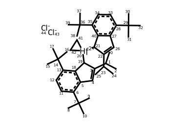 CC(C)C1=Cc2c(C(C)(C)C)ccc(C(C)(C)C)c2[CH]1[Hf+2]1([CH]2C(C(C)C)=Cc3c(C(C)(C)C)ccc(C(C)(C)C)c32)[CH2][CH2]1.[Cl-].[Cl-]